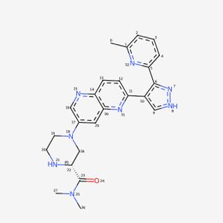 Cc1cccc(-c2n[nH]cc2-c2ccc3ncc(N4CCN[C@@H](C(=O)N(C)C)C4)cc3n2)n1